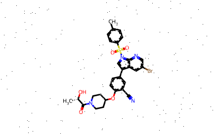 Cc1ccc(S(=O)(=O)n2cc(-c3ccc(OC4CCN(C(=O)[C@H](C)O)CC4)c(C#N)c3)c3cc(Br)cnc32)cc1